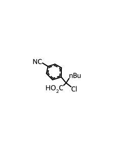 CCCCC(Cl)(C(=O)O)c1ccc(C#N)cc1